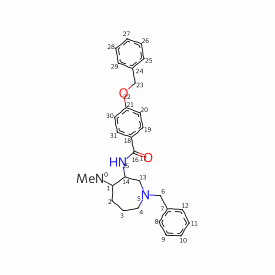 CNC1CCCN(Cc2ccccc2)CC1NC(=O)c1ccc(OCc2ccccc2)cc1